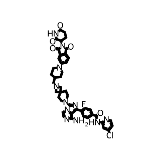 Nc1nccn2c(N3CCC4(CC3)CN(CC3CCN(c5ccc6c(c5)C(=O)N(C5CCC(=O)NC5=O)C6=O)CC3)C4)nc(-c3ccc(C(=O)Nc4cc(Cl)ccn4)cc3F)c12